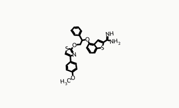 COc1ccc(-c2csc(OCC(Oc3cccc4sc(C(=N)N)cc34)c3ccccc3)n2)cc1